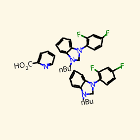 CCCCN1CN(c2ccc(F)cc2F)c2ccccc21.CCCCN1CN(c2ccc(F)cc2F)c2ccccc21.O=C(O)c1ccccn1